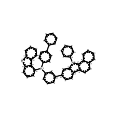 c1ccc(-c2ccc(N(c3cccc(-c4ccc5c6ccc7ccccc7c6n(-c6ccccc6)c5c4)c3)c3cccc4oc5ccccc5c34)cc2)cc1